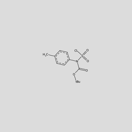 Cc1ccc(N(C(=O)OC(C)(C)C)S(=O)(=O)Cl)cc1